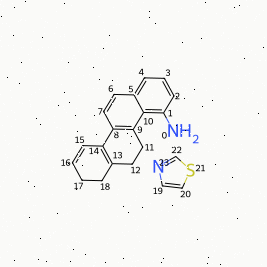 Nc1cccc2ccc3c(c12)CCC1=C3C=CCC1.c1cscn1